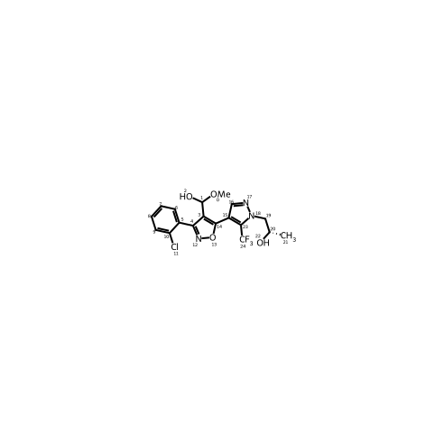 COC(O)c1c(-c2ccccc2Cl)noc1-c1cnn(C[C@H](C)O)c1C(F)(F)F